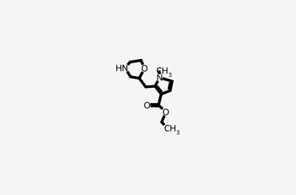 CCOC(=O)c1ccn(C)c1CC1CNCCO1